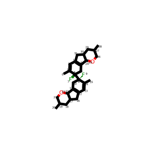 CC1=CC2=C(CC1(F)[C@]1(F)CC3=C(C=C1C)CC1CC(C)COC31)C1OCC(C)CC1C2